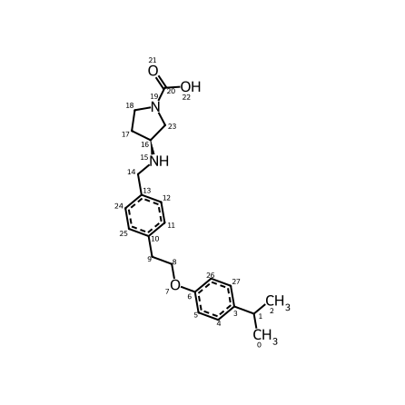 CC(C)c1ccc(OCCc2ccc(CN[C@H]3CCN(C(=O)O)C3)cc2)cc1